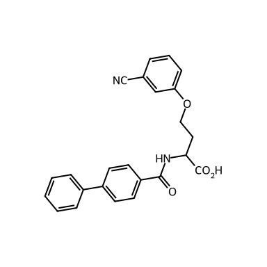 N#Cc1cccc(OCCC(NC(=O)c2ccc(-c3ccccc3)cc2)C(=O)O)c1